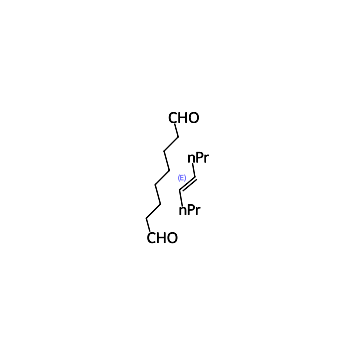 CCC/C=C/CCC.O=CCCCCCCC=O